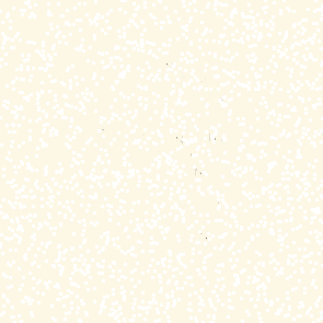 CC(C)=CCn1c(N2CC3CN(C(=O)O)CC3C2)nc2ccc([N+](=O)[O-])cc21